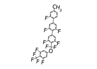 Cc1ccc(-c2cc(F)c(-c3cc(F)c(C(F)(F)Oc4cc(F)c(C(F)(F)F)c(F)c4)c(F)c3)c(F)c2)c(F)c1